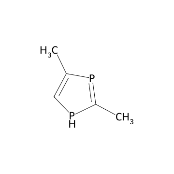 Cc1c[pH]c(C)p1